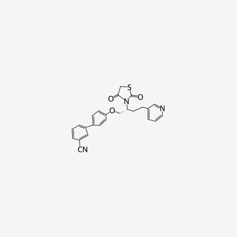 N#Cc1cccc(-c2ccc(OC[C@@H](CCc3cccnc3)N3C(=O)CSC3=O)cc2)c1